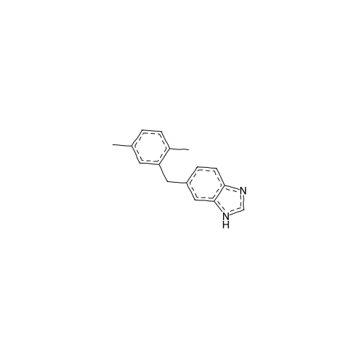 Cc1ccc(C)c(Cc2ccc3nc[nH]c3c2)c1